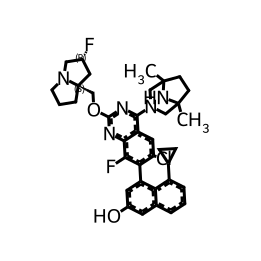 CC12CCC(C)(CN(c3nc(OC[C@@]45CCCN4C[C@H](F)C5)nc4c(F)c(-c5cc(O)cc6cccc(C7CC7)c56)c(Cl)cc34)C1)N2